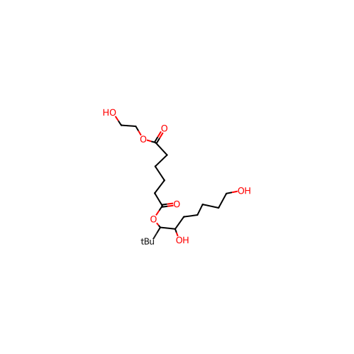 CC(C)(C)C(OC(=O)CCCCC(=O)OCCO)C(O)CCCCCO